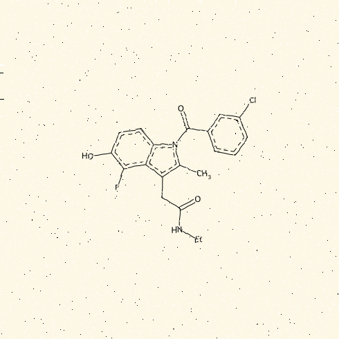 CCNC(=O)Cc1c(C)n(C(=O)c2cccc(Cl)c2)c2ccc(O)c(F)c12